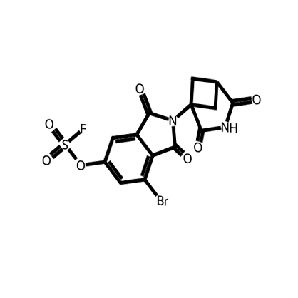 O=C1NC(=O)C2(N3C(=O)c4cc(OS(=O)(=O)F)cc(Br)c4C3=O)CC1C2